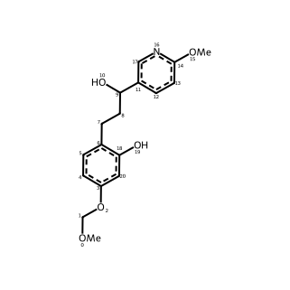 COCOc1ccc(CCC(O)c2ccc(OC)nc2)c(O)c1